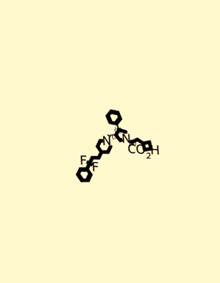 O=C(O)[C@H](CC1CCC1)N1C[C@H](CN2CCC(CCC(F)(F)c3ccccc3)CC2)[C@@H](c2ccccc2)C1